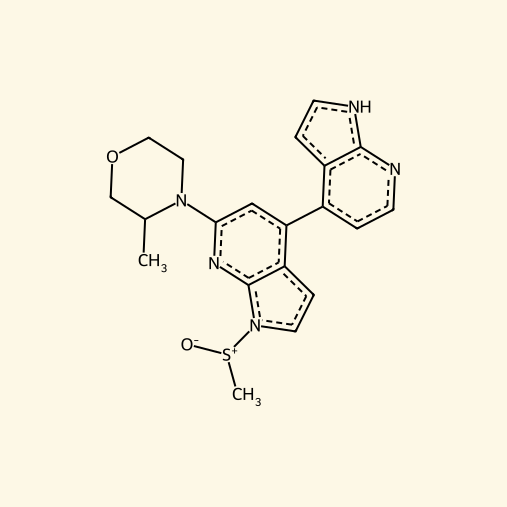 CC1COCCN1c1cc(-c2ccnc3[nH]ccc23)c2ccn([S+](C)[O-])c2n1